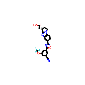 N#Cc1cc(OC(F)(F)F)cc(-c2nc(-c3ccc4c(c3)nc3n4CC[C@@H]3CC(=O)O)no2)c1